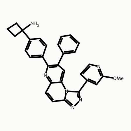 COc1cc(-c2nnc3ccc4nc(-c5ccc(C6(N)CCC6)cc5)c(-c5ccccc5)cc4n23)ccn1